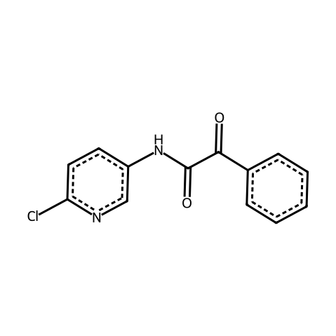 O=C(Nc1ccc(Cl)nc1)C(=O)c1ccccc1